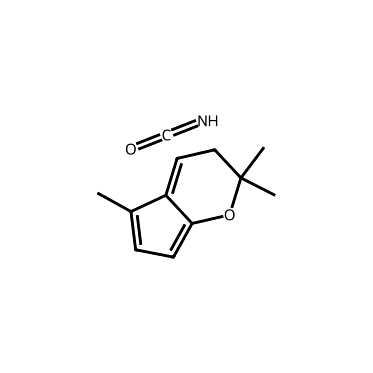 CC1=CC=C2OC(C)(C)CC=C12.N=C=O